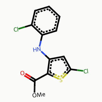 COC(=O)c1sc(Cl)cc1Nc1ccccc1Cl